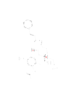 CC(=O)Oc1cc(O)c2c3c1C[C@@H]1[C@@H]4CC[C@H](N(C)C(=O)C=Cc5ccccc5)[C@H](O2)[C@]34CCN1CC1CC1